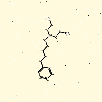 CC[O][Ti]([O]CC)[O]CCCCc1ccncc1